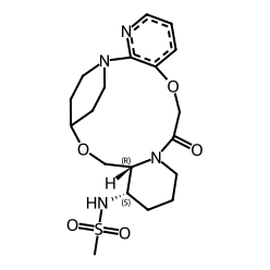 CS(=O)(=O)N[C@H]1CCCN2C(=O)COc3cccnc3N3CCC(CC3)OC[C@@H]12